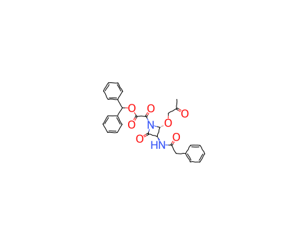 CC(=O)CO[C@@H]1[C@@H](NC(=O)Cc2ccccc2)C(=O)N1C(=O)C(=O)OC(c1ccccc1)c1ccccc1